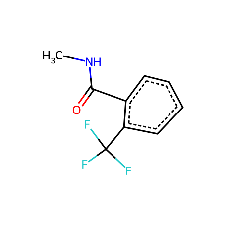 CNC(=O)c1ccccc1C(F)(F)F